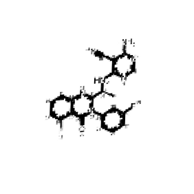 C[C@H](Nc1ncnc(N)c1C#N)c1nc2cccc(F)c2c(=O)n1-c1cccc(F)c1